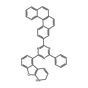 C1=Cc2c(oc3cccc(-c4nc(-c5ccccc5)nc(-c5ccc6c(ccc7ccc8ccccc8c76)c5)n4)c23)NC1